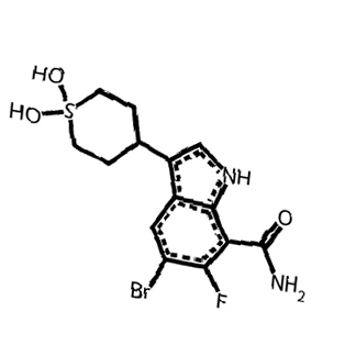 NC(=O)c1c(F)c(Br)cc2c(C3CCS(O)(O)CC3)c[nH]c12